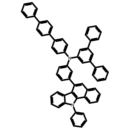 c1ccc(-c2ccc(-c3ccc(N(c4cc(-c5ccccc5)cc(-c5ccccc5)c4)c4cccc(-c5cc6ccccc6c6c5c5ccccc5n6-c5ccccc5)c4)cc3)cc2)cc1